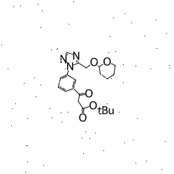 CC(C)(C)OC(=O)CC(=O)c1cccc(-n2ncnc2COC2CCCCO2)c1